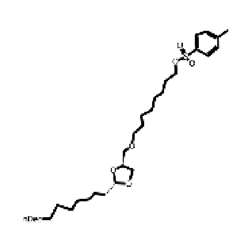 CCCCCCCCCCCCCCCCC[C@H]1OC[C@H](COCCCCCCCCOS(=O)(=O)c2ccc(C)cc2)O1